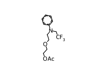 CC(=O)OCCOCCN(CC(F)(F)F)c1ccccc1